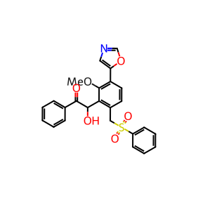 COc1c(-c2cnco2)ccc(CS(=O)(=O)c2ccccc2)c1C(O)C(=O)c1ccccc1